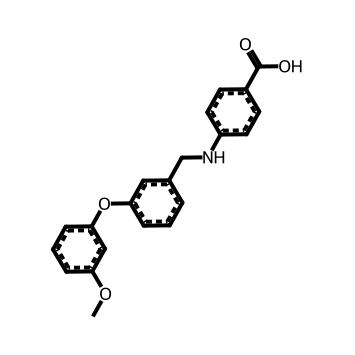 COc1cccc(Oc2cccc(CNc3ccc(C(=O)O)cc3)c2)c1